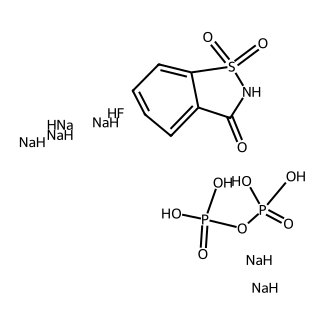 F.O=C1NS(=O)(=O)c2ccccc21.O=P(O)(O)OP(=O)(O)O.[NaH].[NaH].[NaH].[NaH].[NaH].[NaH]